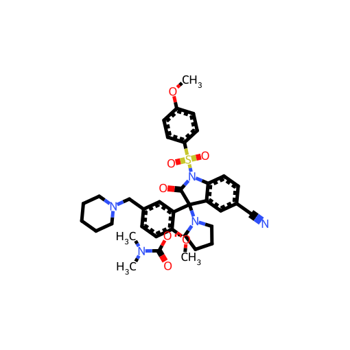 COc1ccc(S(=O)(=O)N2C(=O)C(c3cc(CN4CCCCC4)ccc3OC)(N3CCC[C@@H]3OC(=O)N(C)C)c3cc(C#N)ccc32)cc1